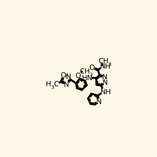 CNC(=O)c1nnc(Nc2ccccn2)cc1Nc1cccc(-c2noc(C)n2)c1OC